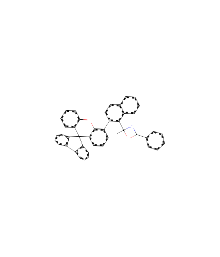 CC1(c2c(-c3cccc4c3Oc3ccccc3C43c4ccccc4-c4ccccc43)ccc3ccccc23)NC(c2ccccc2)O1